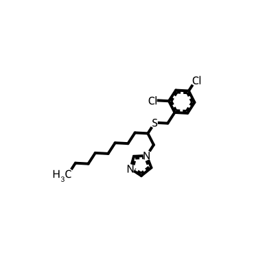 CCCCCCCCC(Cn1ccnc1)SCc1ccc(Cl)cc1Cl